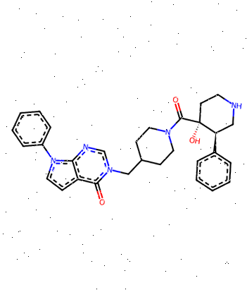 O=C(N1CCC(Cn2cnc3c(ccn3-c3ccccc3)c2=O)CC1)[C@@]1(O)CCNC[C@H]1c1ccccc1